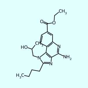 CCCCc1nc2c(N)nc3cc(C(=O)OCC)ccc3c2n1CC(C)O